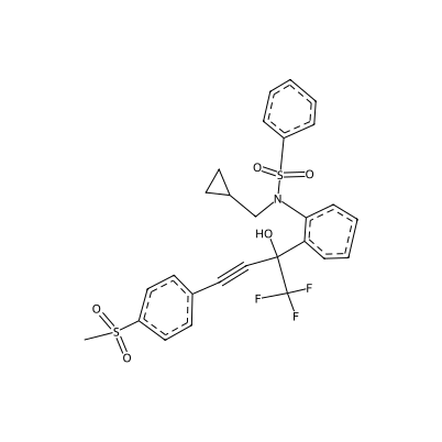 CS(=O)(=O)c1ccc(C#CC(O)(c2ccccc2N(CC2CC2)S(=O)(=O)c2ccccc2)C(F)(F)F)cc1